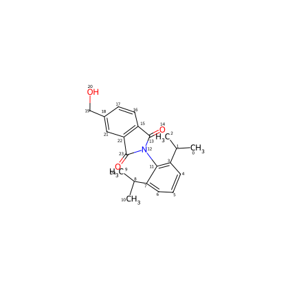 CC(C)c1cccc(C(C)C)c1N1C(=O)c2ccc(CO)cc2C1=O